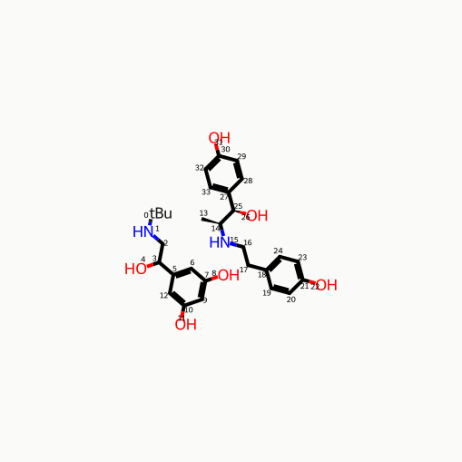 CC(C)(C)NCC(O)c1cc(O)cc(O)c1.C[C@H](NCCc1ccc(O)cc1)[C@H](O)c1ccc(O)cc1